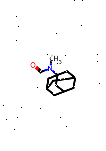 CN([C]=O)C12CC3CC(CC(C3)C1)C2